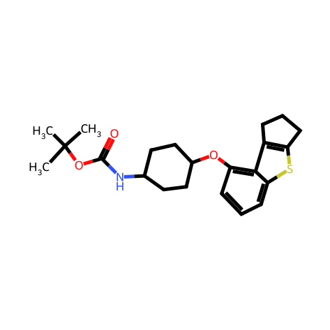 CC(C)(C)OC(=O)NC1CCC(Oc2cccc3sc4c(c23)CCC4)CC1